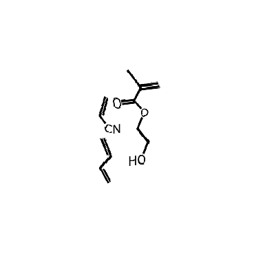 C=C(C)C(=O)OCCO.C=CC#N.C=CC=C